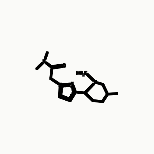 CC1CCC(c2ccn(CC(=O)N(C)C)n2)N(C(=O)O)C1